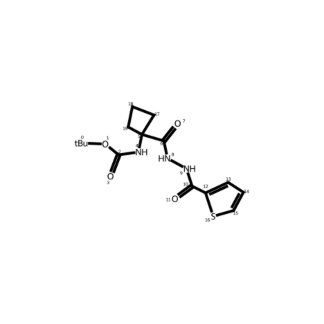 CC(C)(C)OC(=O)NC1(C(=O)NNC(=O)c2cccs2)CCC1